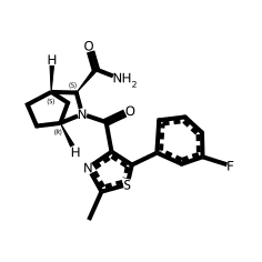 Cc1nc(C(=O)N2[C@@H]3CC[C@@H](C3)[C@H]2C(N)=O)c(-c2cccc(F)c2)s1